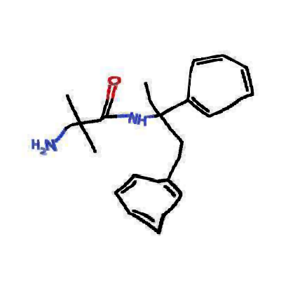 CC(C)(N)C(=O)NC(C)(Cc1ccccc1)c1ccccc1